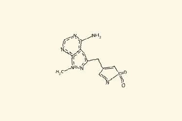 Cn1nc(CC2=CS(=O)(=O)N=C2)c2c(N)ncnc21